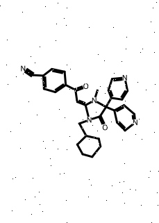 CN1C(=CC(=O)c2ccc(C#N)cc2)N(CC2CCCCC2)C(=O)C1(c1ccncc1)c1ccncc1